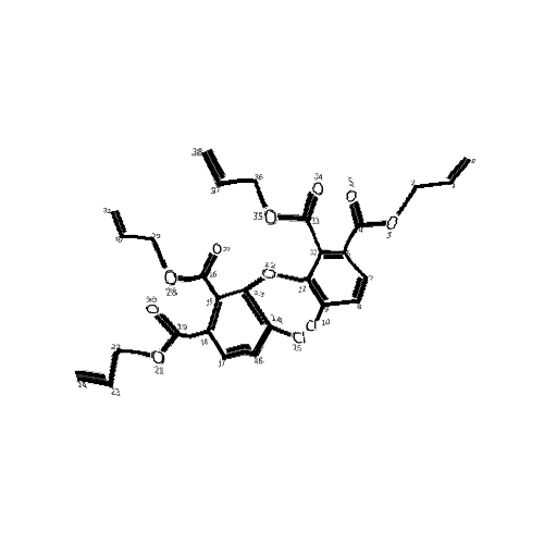 C=CCOC(=O)c1ccc(Cl)c(Oc2c(Cl)ccc(C(=O)OCC=C)c2C(=O)OCC=C)c1C(=O)OCC=C